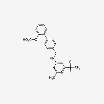 Cc1nc(NCc2ccc(-c3ccccc3OC(=O)O)cc2)cc(C(F)(F)C(F)(F)F)n1